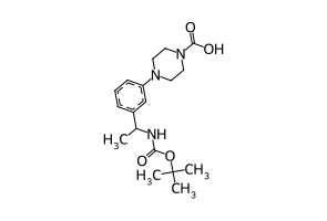 CC(NC(=O)OC(C)(C)C)c1cccc(N2CCN(C(=O)O)CC2)c1